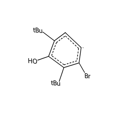 CC(C)(C)c1c[c]c(Br)c(C(C)(C)C)c1O